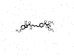 Cc1nc(C)c(C(=O)N2CCC(CCCCNC(=O)c3cc4c([nH]3)CCN(C)C4)CC2)o1